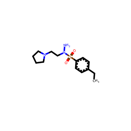 CCc1ccc(S(=O)(=O)N(N)CCN2CCCC2)cc1